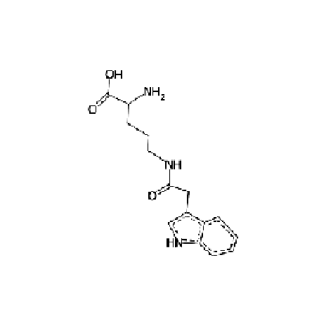 NC(CCCNC(=O)Cc1c[nH]c2ccccc12)C(=O)O